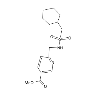 COC(=O)c1ccc(CNS(=O)(=O)CC2CCCCC2)nc1